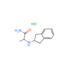 CC(NC1Cc2ccccc2C1)C(N)=O.Cl